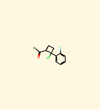 CCC(=O)C1CCC1(Cl)c1ccccc1F